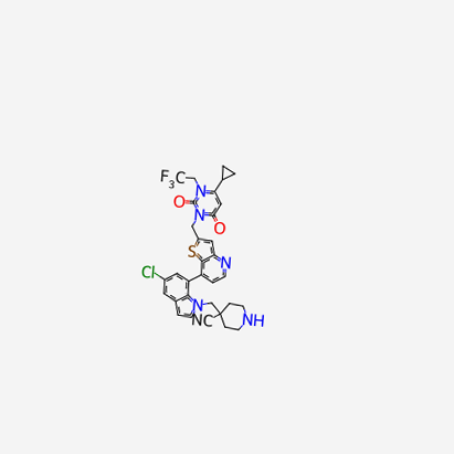 N#CC1(Cn2ccc3cc(Cl)cc(-c4ccnc5cc(Cn6c(=O)cc(C7CC7)n(CC(F)(F)F)c6=O)sc45)c32)CCNCC1